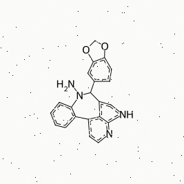 NN1c2ccccc2-c2ccnc3[nH]cc(c23)C1c1ccc2c(c1)OCO2